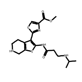 COC(=O)c1csc(-c2c(NC(=O)CCNC(C)C)sc3c2CCNC3)n1